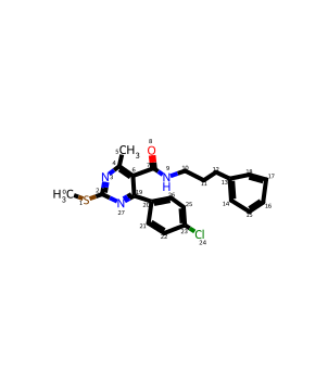 CSc1nc(C)c(C(=O)NCCCc2ccccc2)c(-c2ccc(Cl)cc2)n1